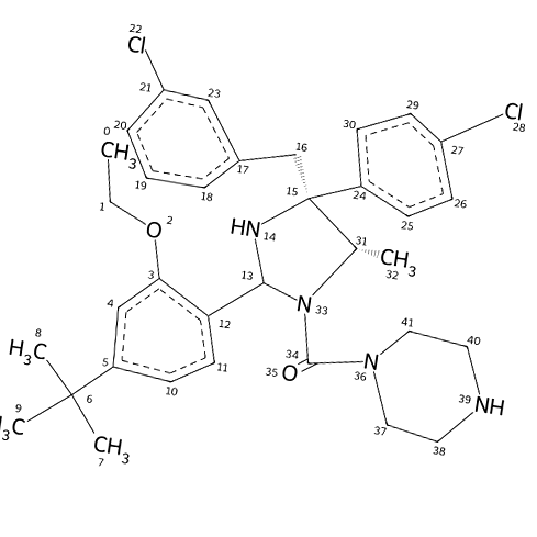 CCOc1cc(C(C)(C)C)ccc1C1N[C@@](Cc2cccc(Cl)c2)(c2ccc(Cl)cc2)[C@H](C)N1C(=O)N1CCNCC1